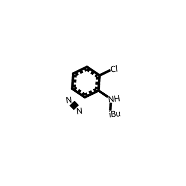 CCC(C)Nc1ccccc1Cl.N#N